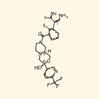 N=C(F)/C(=C\N)c1cccc(C(=O)N2CCN3C[C@@](O)(c4ccc(C(F)(F)F)nc4)OC[C@@H]3C2)c1F